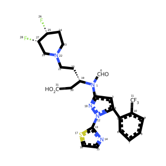 O=CN(c1cc(-c2ccccc2C(F)(F)F)n(-c2nccs2)n1)[C@@H](CCN1CC[C@@H](F)[C@@H](F)C1)CC(=O)O